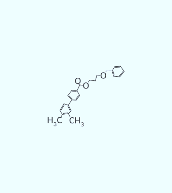 Cc1ccc(-c2ccc(C(=O)OCCCOCc3ccccc3)cc2)cc1C